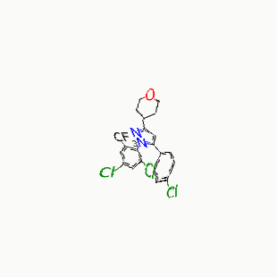 FC(F)(F)c1cc(Cl)cc(Cl)c1-n1nc(C2CCOCC2)cc1-c1ccc(Cl)cc1